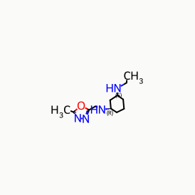 CCN[C@H]1CCC[C@@H](NCc2nnc(C)o2)C1